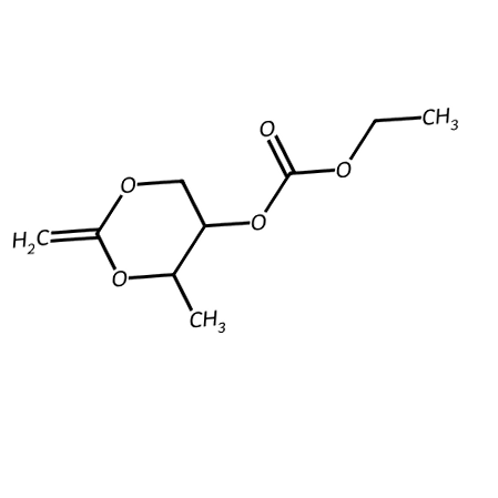 C=C1OCC(OC(=O)OCC)C(C)O1